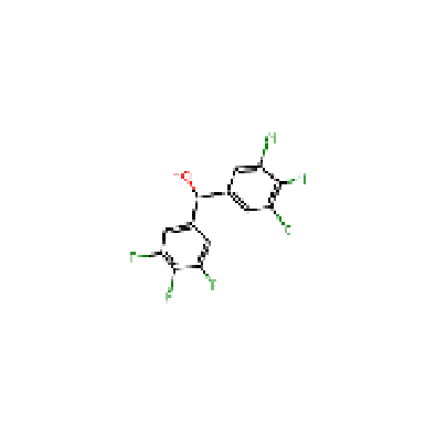 OC(c1cc(F)c(F)c(F)c1)c1cc(Cl)c(Cl)c(Cl)c1